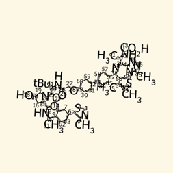 Cc1ncsc1-c1ccc([C@H](C)NC(=O)[C@@H]2C[C@@H](O)CN2C(=O)[C@@H](NC(=O)COc2ccc(-c3ccc(C4=NC(C(C)NC(=O)O)c5nnc(C)n5-c5sc(C)c(C)c54)cc3)cc2)C(C)(C)C)cc1